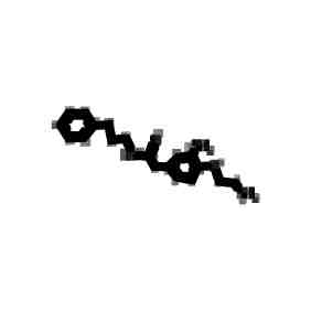 NCCOc1ccc(CC(=O)NCCCc2ccccc2)cc1N